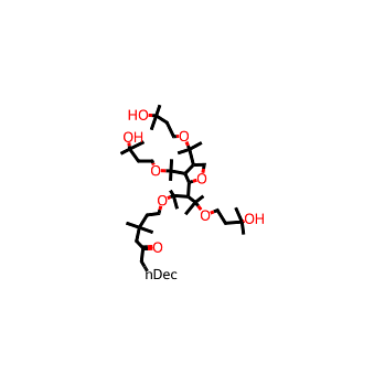 CCCCCCCCCCCC(=O)CC(C)(C)CCOC(C)(C)C(C1OCC(C(C)(C)OCCC(C)(C)O)C1C(C)(C)OCCC(C)(C)O)C(C)(C)OCCC(C)(C)O